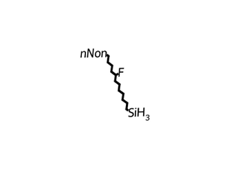 CCCCCCCCCCCCCC(F)CCCCCCC[SiH3]